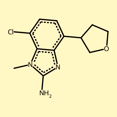 Cn1c(N)nc2c(C3CCOC3)ccc(Cl)c21